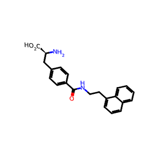 N[C@@H](Cc1ccc(C(=O)NCCc2cccc3ccccc23)cc1)C(=O)O